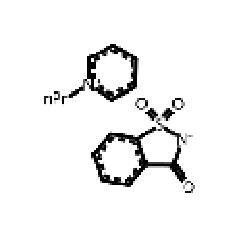 CCC[n+]1ccccc1.O=C1[N-]S(=O)(=O)c2ccccc21